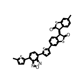 Cc1ccc2c(c1)SC(=O)/C2=C1/C(=O)Sc2cc(-c3ccc(-c4ccc(-c5ccc(C)s5)c5nonc45)s3)ccc21